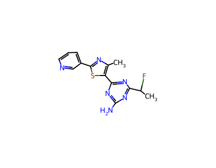 Cc1nc(-c2cccnc2)sc1-c1nc(N)nc(C(C)F)n1